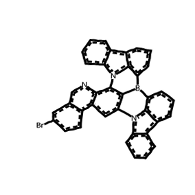 Brc1ccc2c(cnc3c4c5c(cc32)-n2c3ccccc3c3cccc(c32)B5c2cccc3c5ccccc5n-4c23)c1